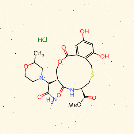 COC(=O)[C@@H]1CSCc2c(O)cc(O)cc2C(=O)OC[C@H](C(C(N)=O)N2CCOC(C)C2)C(=O)N1.Cl